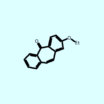 CCOc1ccc2c(=O)c3ccccc3ccc2c1